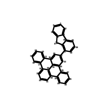 c1ccc2c(c1)sc1c(-c3cc4c5ccccc5c5cccc6c7ccccc7c(c3)c4c56)cccc12